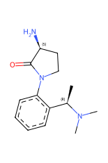 C[C@H](c1ccccc1N1CC[C@H](N)C1=O)N(C)C